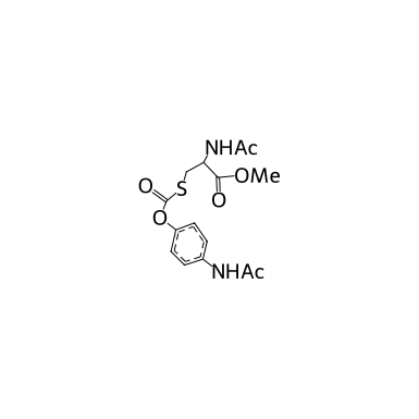 COC(=O)C(CSC(=O)Oc1ccc(NC(C)=O)cc1)NC(C)=O